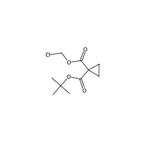 CC(C)(C)OC(=O)C1(C(=O)OCCl)CC1